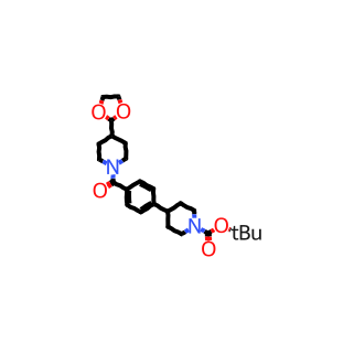 CC(C)(C)OC(=O)N1CCC(c2ccc(C(=O)N3CCC(C4OCCO4)CC3)cc2)CC1